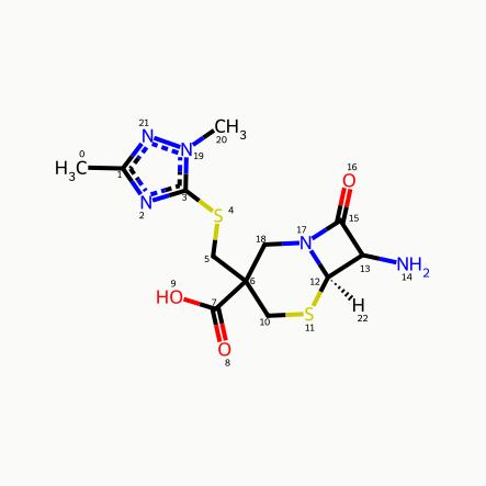 Cc1nc(SCC2(C(=O)O)CS[C@@H]3C(N)C(=O)N3C2)n(C)n1